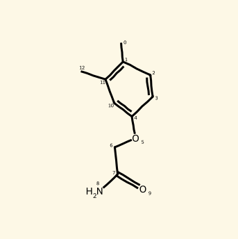 Cc1ccc(OCC(N)=O)cc1C